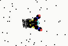 CC(C)(C)c1ccc(-c2cc(C3=C(c4cc(-c5ccc(C(C)(C)C)s5)sc4-c4ccc(N5CCOCC5)cc4)C(F)(F)C(F)(F)C3(F)F)c(-c3ccc(N4CCOCC4)cc3)s2)s1